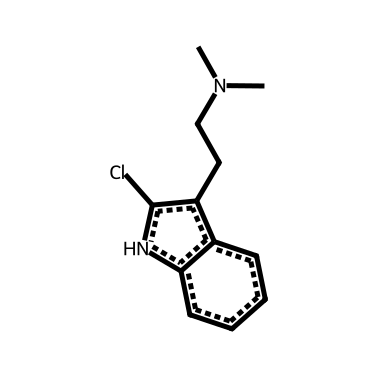 CN(C)CCc1c(Cl)[nH]c2ccccc12